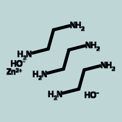 NCCN.NCCN.NCCN.[OH-].[OH-].[Zn+2]